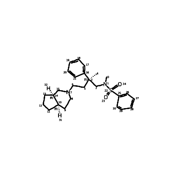 CN(C[C@@](C)(CCN1CC[C@H]2CCC[C@H]2C1)c1ccccc1)S(=O)(=O)c1ccccc1